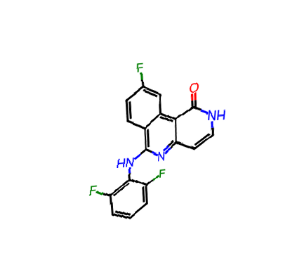 O=c1[nH]ccc2nc(Nc3c(F)cccc3F)c3ccc(F)cc3c12